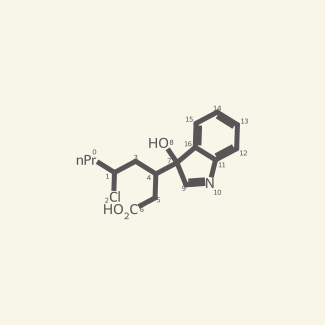 CCCC(Cl)CC(CC(=O)O)C1(O)C=Nc2ccccc21